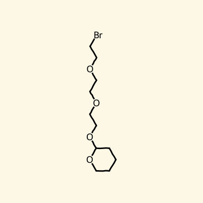 BrCCOCCOCCOC1CCCCO1